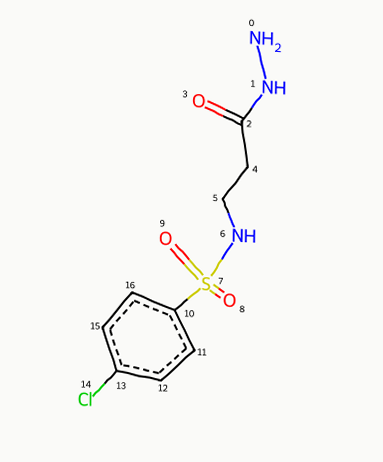 NNC(=O)CCNS(=O)(=O)c1ccc(Cl)cc1